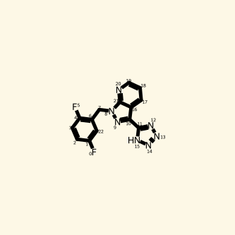 Fc1ccc(F)c(Cn2nc(-c3nnn[nH]3)c3cccnc32)c1